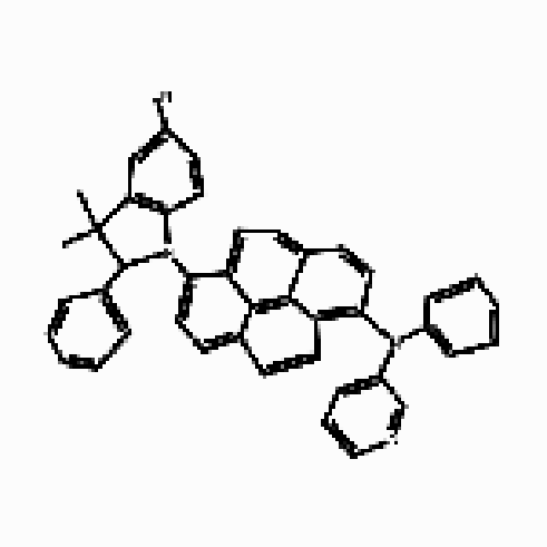 CC1(C)c2cc(C#N)ccc2N(c2ccc3ccc4c(N(c5ccccc5)c5cccnc5)ccc5ccc2c3c54)C1c1ccccc1